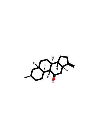 C=C1CC[C@H]2[C@@H]3CC[C@H]4C[C@H](C)CC[C@]4(C)[C@H]3C(=O)C[C@]12C